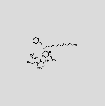 COCCOCCOCCS[C@@H](CCc1ccccc1)C(=O)N[C@@H](COC)C(=O)N[C@@H](COC)C(=O)NC(CC(C)C)C(=O)[C@@]1(C)CO1